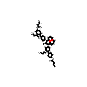 CCCC(=O)OC1CCC([C@]2(CCCCl)CC[C@H](C(C(=O)C(c3ccccc3)[C@H]3CC[C@@](CCCCl)(C4CCC(OC(=O)CCC)CC4)CC3)c3ccccc3)CC2)CC1